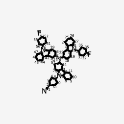 N#Cc1ccc(-n2c3ccccc3c3cc(N(c4ccc5c(c4)c4ccccc4n5-c4ccc(F)cc4)c4ccc5c(c4)c4ccccc4n5-c4ccc(F)cc4)ccc32)cc1